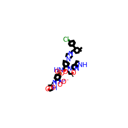 C[C@H]1CCN(c2cc(N3CCN(CC4=C(c5ccc(Cl)cc5)CC(C)(C)CC4)CC3)ccc2C(=O)NS(=O)(=O)c2ccc(NC[C@@H]3COCCO3)c([N+](=O)[O-])c2)c2cc3cc[nH]c3nc2O1